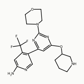 Nc1cc(C(F)(F)F)c(-c2cc(OC3CCCNC3)nc(N3CCOCC3)n2)cn1